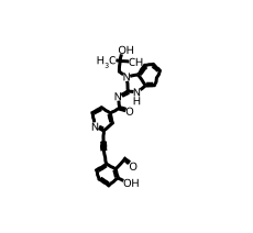 CC(C)(O)Cn1/c(=N/C(=O)c2ccnc(C#Cc3cccc(O)c3C=O)c2)[nH]c2ccccc21